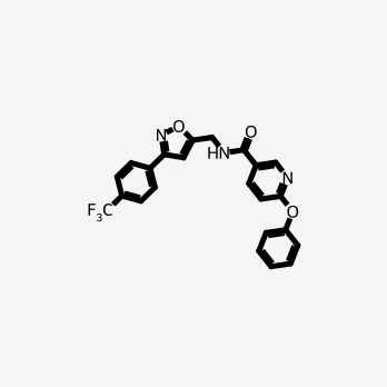 O=C(NCc1cc(-c2ccc(C(F)(F)F)cc2)no1)c1ccc(Oc2ccccc2)nc1